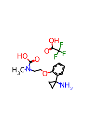 CN(CCOc1ccccc1C1(N)CC1)C(=O)O.O=C(O)C(F)(F)F